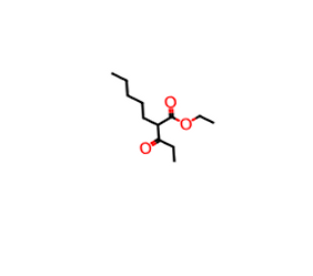 CCCCCC(C(=O)CC)C(=O)OCC